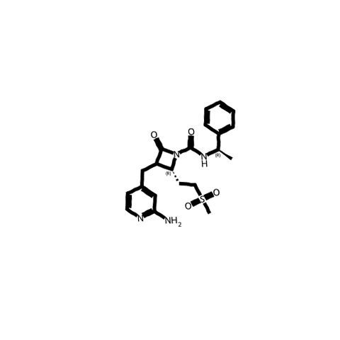 C[C@@H](NC(=O)N1C(=O)C(Cc2ccnc(N)c2)[C@H]1CCS(C)(=O)=O)c1ccccc1